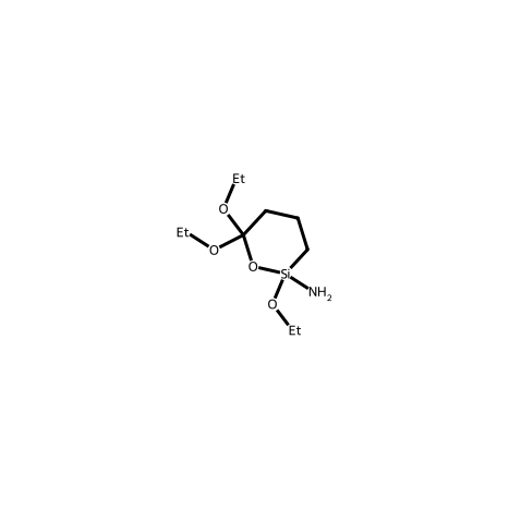 CCOC1(OCC)CCC[Si](N)(OCC)O1